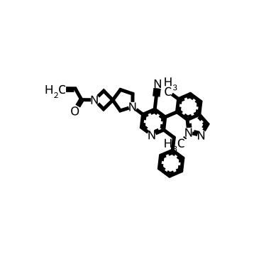 C=CC(=O)N1CC2(CCN(c3cnc(Cc4ccccc4)c(-c4c(C)ccc5cnn(C)c45)c3C#N)C2)C1